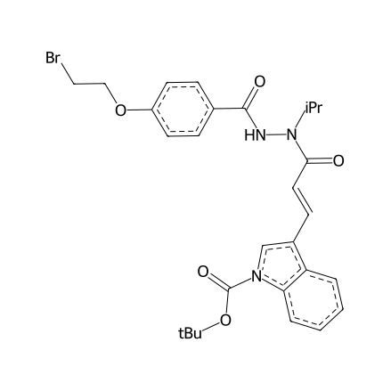 CC(C)N(NC(=O)c1ccc(OCCBr)cc1)C(=O)C=Cc1cn(C(=O)OC(C)(C)C)c2ccccc12